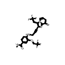 CNC(=O)c1ccc(NCC#Cc2nc3c(Br)cccn3c2CC(F)(F)F)c(OCC(F)(F)F)c1